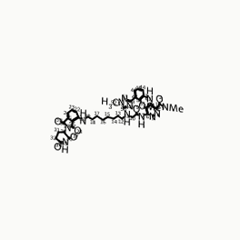 CNC(=O)c1nnc(NC(=O)CNCCCCCCCCNc2cccc3c2C(=O)N(C2CCC(=O)NC2=O)C3=O)cc1Nc1cccc(-c2ncn(C)n2)c1OC